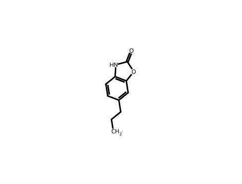 [CH2]CCc1ccc2[nH]c(=O)oc2c1